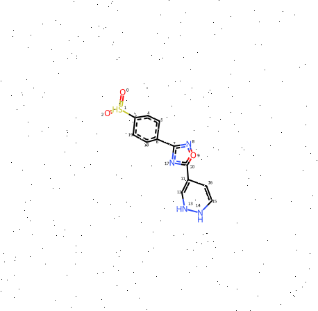 O=[SH](=O)c1ccc(-c2noc(C3=CNNC=C3)n2)cc1